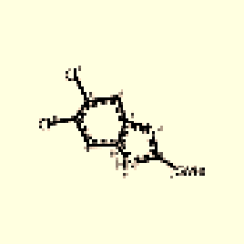 CSc1nc2cc(Cl)c(Cl)cc2[nH]1